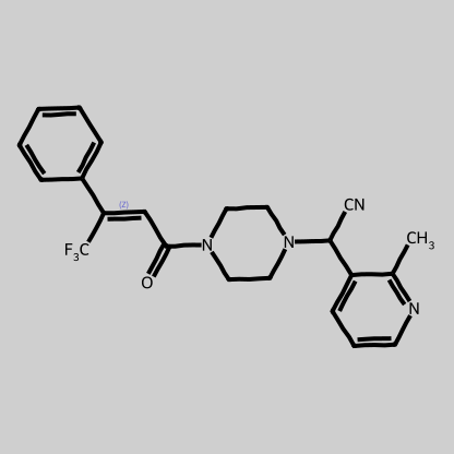 Cc1ncccc1C(C#N)N1CCN(C(=O)/C=C(/c2ccccc2)C(F)(F)F)CC1